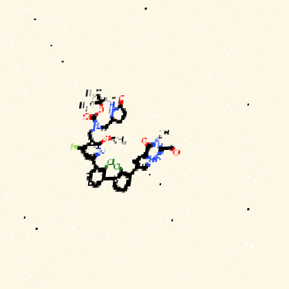 COc1nc(-c2cccc(-c3cccc(-c4cc5c(=O)n(C)c(C=O)nn5c4)c3Cl)c2Cl)cc(F)c1CN(CC1CCC(=O)N1)C(=O)OC(C)(C)C